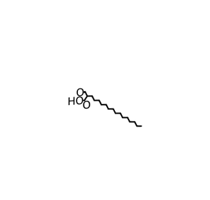 CCCCCCCCCCCCCCCC(C=O)C(=O)O